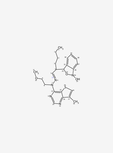 CCCCC(/C=N/N(CCOC)c1ncnc2c(C)csc12)C1ON(O)c2ccccc21